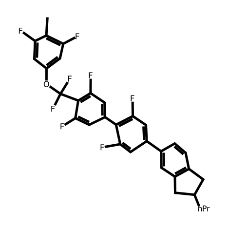 CCCC1Cc2ccc(-c3cc(F)c(-c4cc(F)c(C(F)(F)Oc5cc(F)c(C)c(F)c5)c(F)c4)c(F)c3)cc2C1